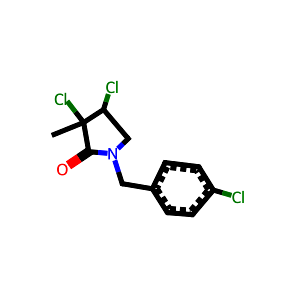 CC1(Cl)C(=O)N(Cc2ccc(Cl)cc2)CC1Cl